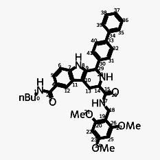 CCCCNC(=O)c1ccc2[nH]c3c(c2c1)CC(C(=O)NCc1c(OC)cc(OC)cc1OC)NC3c1ccc(-c2ccccc2)cc1